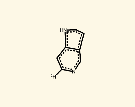 [2H]c1cc2[nH]ccc2cn1